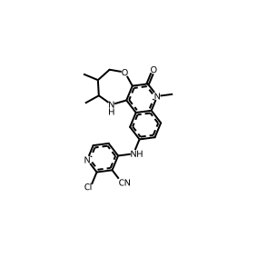 CC1COc2c(c3cc(Nc4ccnc(Cl)c4C#N)ccc3n(C)c2=O)NC1C